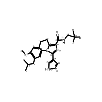 COc1cc2c(cc1CC(C)C)-n1c(-c3cn[nH]c3)nc(C(=O)NCC(C)(C)C)c1CC2